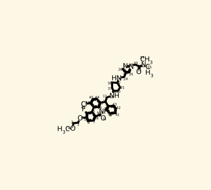 COCCOc1ccc(C(N)=O)c(-c2cc(C(CNC3CCC(NCc4cnn(CC(=O)N(C)C)c4)CC3)c3ccccc3)ccc2Cl)c1F